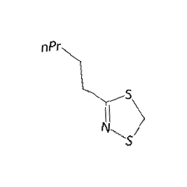 CCCCCC1=NSCS1